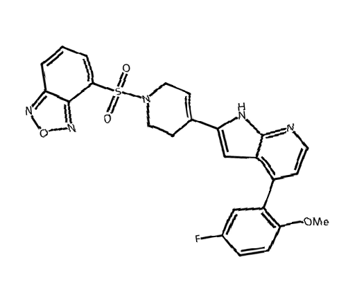 COc1ccc(F)cc1-c1ccnc2[nH]c(C3=CCN(S(=O)(=O)c4cccc5nonc45)CC3)cc12